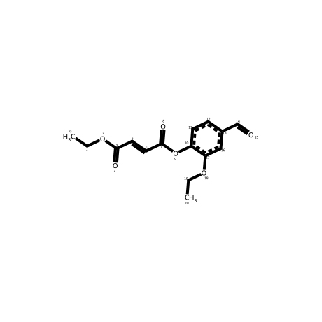 CCOC(=O)/C=C/C(=O)Oc1ccc(C=O)cc1OCC